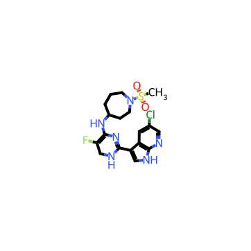 CS(=O)(=O)N1CCCC(NC2=C(F)CNC(c3c[nH]c4ncc(Cl)cc34)=N2)CC1